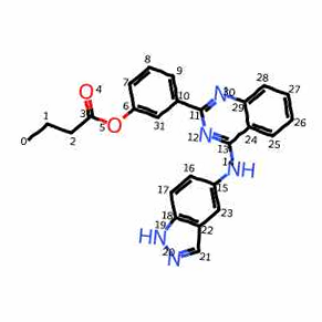 CCCC(=O)Oc1cccc(-c2nc(Nc3ccc4[nH]ncc4c3)c3ccccc3n2)c1